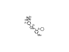 CCS(=O)(=O)Nc1ccc(C(C)C(=O)NCc2ccc(C(C)(C)C)cc2SC2CCCCC2)cc1F